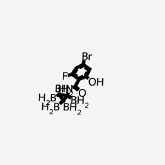 BC1(B)C(B)(B)C1(B)NC(=O)c1c(O)cc(Br)cc1F